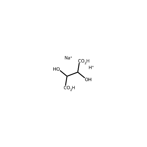 O=C(O)C(O)C(O)C(=O)O.[H+].[Na+]